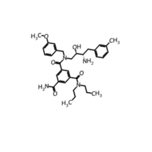 CCCN(CCC)C(=O)c1cc(C(N)=O)cc(C(=O)N(Cc2cccc(OC)c2)C[C@@H](O)[C@@H](N)Cc2cccc(C)c2)c1